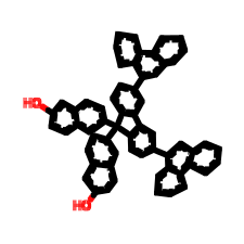 Oc1ccc2cc(C3(c4ccc5cc(O)ccc5c4)c4ccc(-c5cc6ccccc6c6ccccc56)cc4-c4cc(-c5cc6ccccc6c6ccccc56)ccc43)ccc2c1